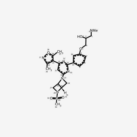 CNCC(O)COc1cccc(-c2nc(-c3c(C)noc3C)cc(N3C[C@H]4C3CN4S(C)(=O)=O)n2)c1